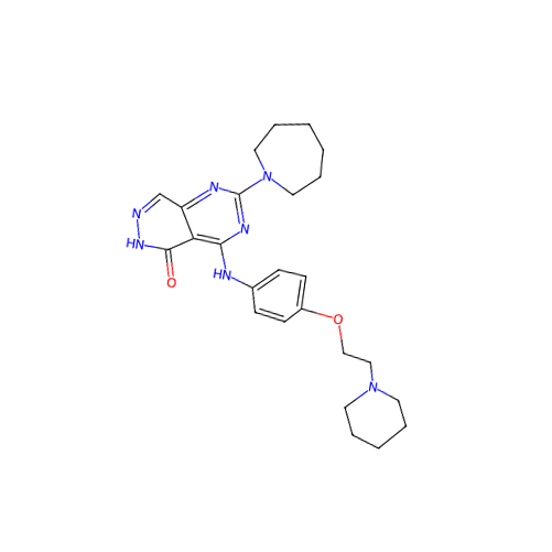 O=c1[nH]ncc2nc(N3CCCCCC3)nc(Nc3ccc(OCCN4CCCCC4)cc3)c12